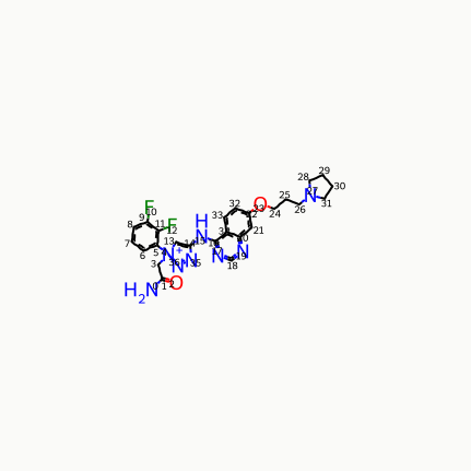 NC(=O)C[N+]1(c2cccc(F)c2F)C=C(Nc2ncnc3cc(OCCCN4CCCC4)ccc23)N=N1